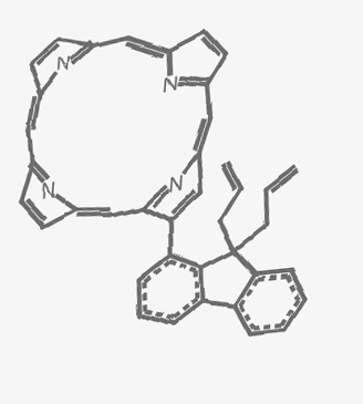 C=CCC1(CC=C)c2ccccc2-c2cccc(C3=CC4=CC5=NC(=CC6=NC(=CC7=NC(=CC3=N4)C=C7)C=C6)C=C5)c21